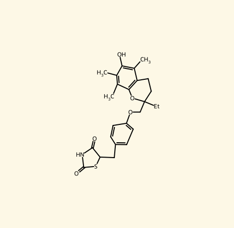 CCC1(COc2ccc(CC3SC(=O)NC3=O)cc2)CCc2c(C)c(O)c(C)c(C)c2O1